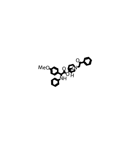 COc1ccc(C(Nc2ccccc2)C(=O)O[C@H]2C[N+]3(CC(=O)c4ccccc4)CCC2CC3)cc1